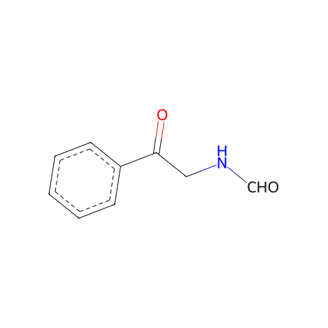 O=CNCC(=O)c1ccccc1